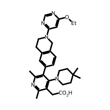 CCOc1cc(N2CCc3cc(-c4c(C)nc(C)c(CC(=O)O)c4N4CCC(C)(C)CC4)ccc3C2)ncn1